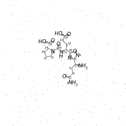 NC(=O)CC[C@H](N)c1noc([C@H](CCC(=O)O)NC(=O)N2CCC[C@@H]2C(=O)O)n1